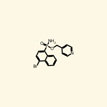 NP(=O)(OCc1ccncc1)c1ccc(Br)c2ccccc12